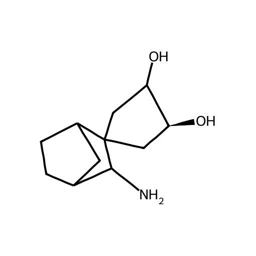 NC1C2CCC(C2)C12CC(O)[C@@H](O)C2